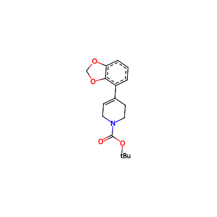 CC(C)(C)OC(=O)N1CC=C(c2cccc3c2OCO3)CC1